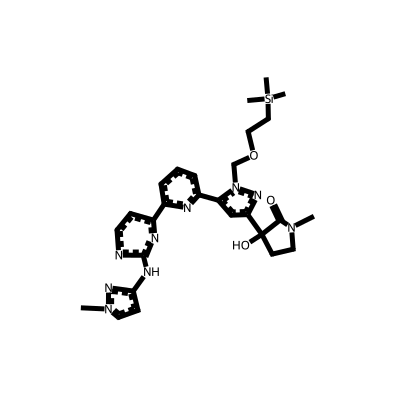 CN1CCC(O)(c2cc(-c3cccc(-c4ccnc(Nc5ccn(C)n5)n4)n3)n(COCC[Si](C)(C)C)n2)C1=O